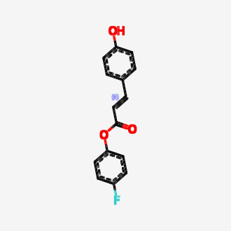 O=C(/C=C/c1ccc(O)cc1)Oc1ccc(F)cc1